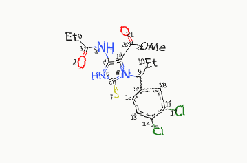 CCC(=O)Nc1[nH]c(=S)n(C(CC)c2ccc(Cl)c(Cl)c2)c1C(=O)OC